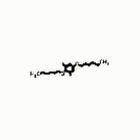 CCCCCCOc1cc(I)c(OCCCCCC)c(I)c1